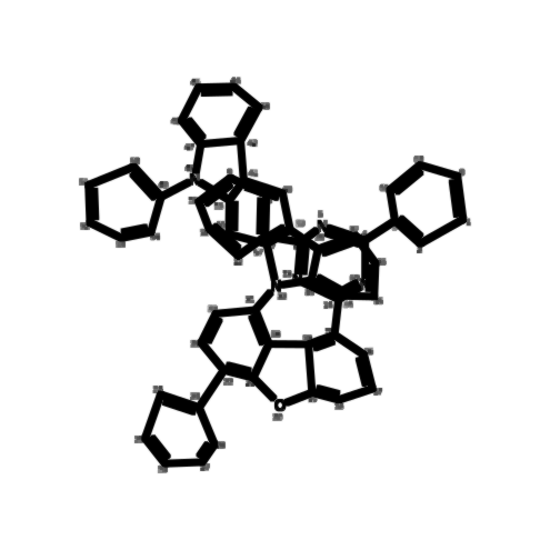 c1ccc(-c2nc(-c3ccccc3)nc(-c3cccc4oc5c(-c6ccccc6)ccc(-n6c7ccccc7c7cc8c9ccccc9n(-c9ccccc9)c8cc76)c5c34)n2)cc1